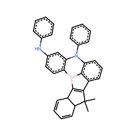 CC1(C)C2=C(B3c4ccc(Nc5ccccc5)cc4N(c4ccccc4)c4cccc2c43)C2C=CC=CC21